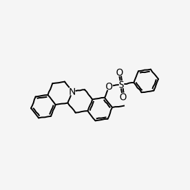 Cc1ccc2c(c1OS(=O)(=O)c1ccccc1)CN1CCc3ccccc3C1C2